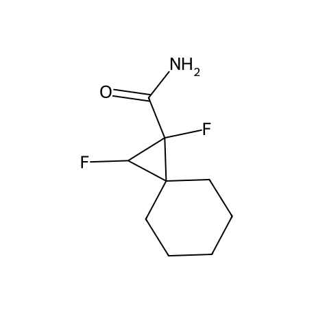 NC(=O)C1(F)C(F)C12CCCCC2